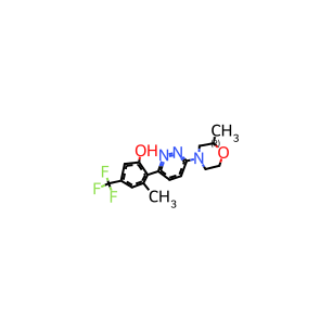 Cc1cc(C(F)(F)F)cc(O)c1-c1ccc(N2CCO[C@H](C)C2)nn1